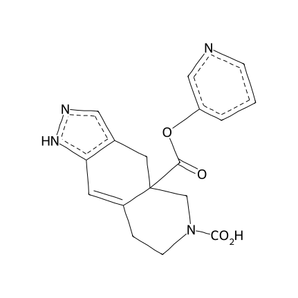 O=C(O)N1CCC2=Cc3[nH]ncc3CC2(C(=O)Oc2cccnc2)C1